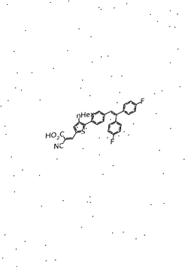 CCCCCCc1cc(/C=C(/C#N)C(=O)O)sc1-c1ccc(C=C(c2ccc(F)cc2)c2ccc(F)cc2)cc1